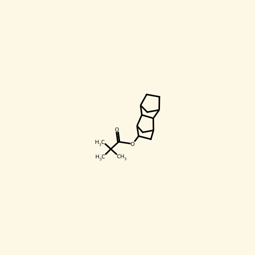 CC(C)(C)C(=O)OC1CC2CC1C1C3CCC(C3)C21